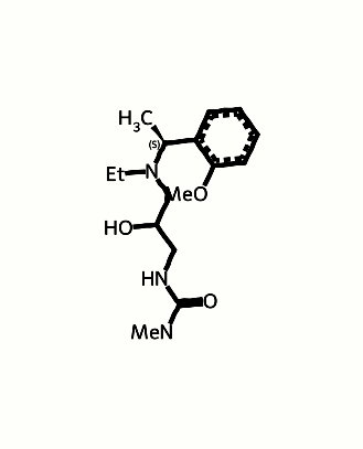 CCN(CC(O)CNC(=O)NC)[C@@H](C)c1ccccc1OC